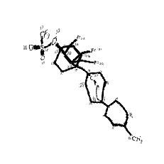 CC1CCC(C23CCC(C45CCC(OS(=O)(=O)C(F)(F)F)(CC4)C(F)C5(F)F)(CC2)CC3)CC1